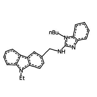 CCCCn1c(NCc2ccc3c(c2)c2ccccc2n3CC)nc2ccccc21